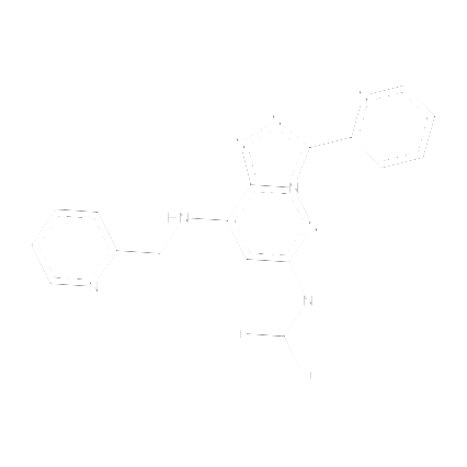 CCC(CC)Nc1cc(NCc2ccccn2)c2nnc(-c3ccccn3)n2n1